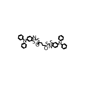 O=C(CCC(=O)Sc1nc2ccc(N(c3ccccc3)c3ccccc3)cc2s1)Sc1nc2ccc(N(c3ccccc3)c3ccccc3)cc2s1